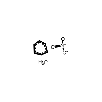 O=[N+]([O-])[O-].[Hg+].c1ccccc1